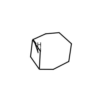 C1CCC2CC3(CC1)CCCNC23